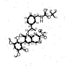 COc1cc(OC)c(Cl)c(-c2cc3cnc(S(C)(=O)=O)nc3n(CC(C)c3cccc(CNC(=O)OC(C)(C)C)c3)c2=O)c1Cl